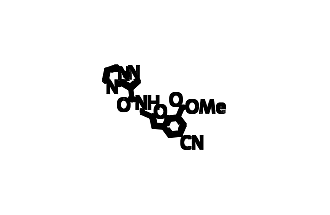 COC(=O)c1cc(C#N)cc2cc(CNC(=O)c3cnn4cccnc34)oc12